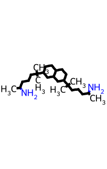 CC(N)CCCC(C)(C)C1CCC2CCC(C(C)(C)CCCC(C)N)CC2C1